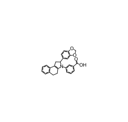 O=C(O)c1cccc(N2C3=C(CC2c2ccc4c(c2)OCO4)c2ccccc2CC3)c1